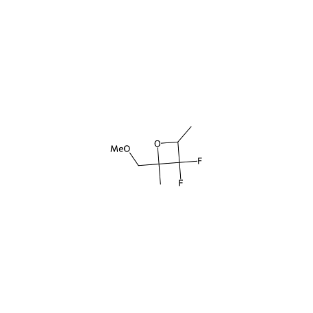 COCC1(C)OC(C)C1(F)F